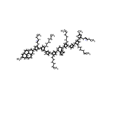 CC/C=C/Cc1cc(C)sc1-c1cc(CCCCCC)c(-c2ccc(-c3sc(-c4ccc(-c5cc(CCCCCC)c(-c6ccc(-c7sc(-c8sc(-c9cc%10ccc%11cc(C)cc%12ccc(c9)c%10c%11%12)cc8C/C=C/CC)cc7CCCCCC)s6)s5)c5nsnc45)cc3CCCCCC)s2)s1